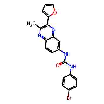 Cc1nc2ccc(NC(=O)Nc3ccc(Br)cc3)cc2nc1-c1ccco1